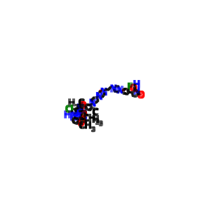 CCc1cc(Nc2ncc(Cl)c(Nc3cccc(OC)c3NS(C)(=O)=O)n2)c(OC)cc1N1CCC(N2CCN(CCCN3CCN(c4ccc(C5CCC(=O)NC5=O)c(F)c4)CC3)CC2)CC1